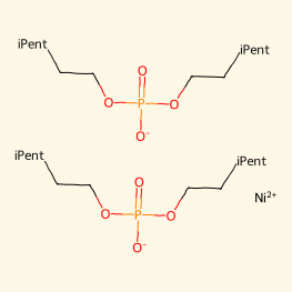 CCCC(C)CCOP(=O)([O-])OCCC(C)CCC.CCCC(C)CCOP(=O)([O-])OCCC(C)CCC.[Ni+2]